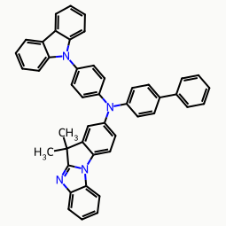 CC1(C)c2cc(N(c3ccc(-c4ccccc4)cc3)c3ccc(-n4c5ccccc5c5ccccc54)cc3)ccc2-n2c1nc1ccccc12